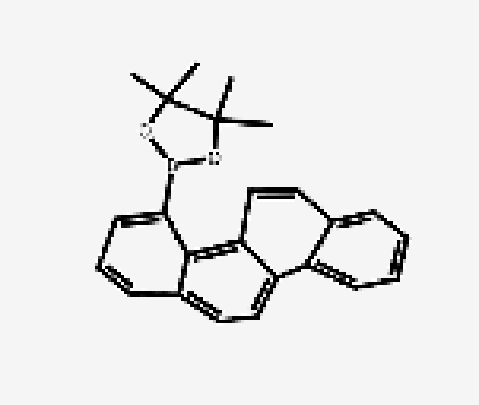 CC1(C)OB(c2cccc3ccc4c5ccccc5ccc4c23)OC1(C)C